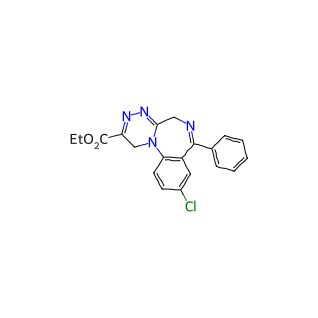 CCOC(=O)C1=NN=C2CN=C(c3ccccc3)c3cc(Cl)ccc3N2C1